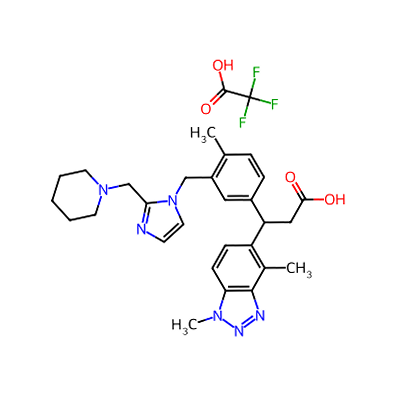 Cc1ccc(C(CC(=O)O)c2ccc3c(nnn3C)c2C)cc1Cn1ccnc1CN1CCCCC1.O=C(O)C(F)(F)F